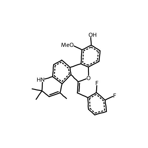 COc1c(O)ccc2c1-c1ccc3c(c1/C(=C/c1cccc(F)c1F)O2)C(C)=CC(C)(C)N3